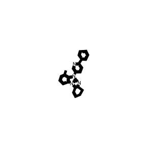 Cc1cccc2c1n(-c1ccc(-c3ccccc3)nc1)c1nc3c(n21)C=CCC3